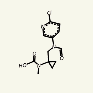 CN(C(=O)O)C1(CN(C=O)c2ccc(Cl)nc2)CC1